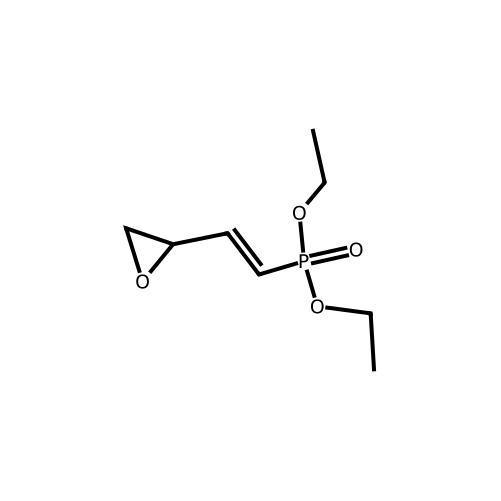 CCOP(=O)(/C=C/C1CO1)OCC